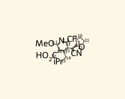 COc1nc(C(F)(F)F)c(C(C#N)=C2CCCO2)c(CC(C)C)c1C(=O)O